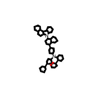 c1ccc(-c2ccc(N(c3ccc(-c4ccc(-n5c6ccccc6c6c7ccccc7ccc65)c5ccccc45)cc3)c3ccccc3-c3ccccc3)cc2)cc1